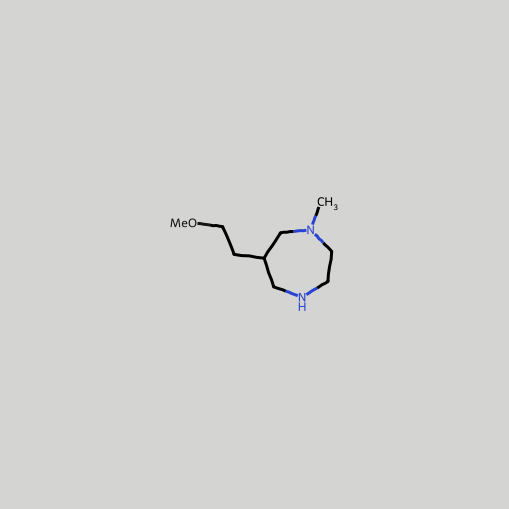 COCCC1CNCCN(C)C1